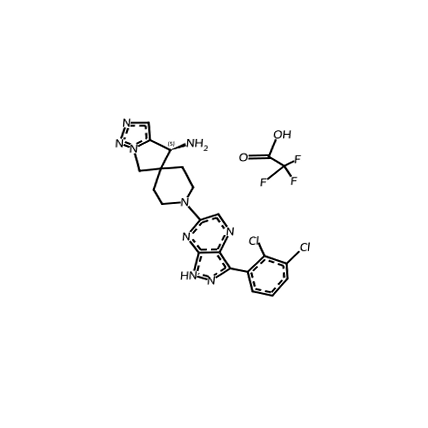 N[C@@H]1c2cnnn2CC12CCN(c1cnc3c(-c4cccc(Cl)c4Cl)n[nH]c3n1)CC2.O=C(O)C(F)(F)F